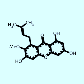 COc1c(O)cc2oc3cc(O)cc(O)c3c(=O)c2c1CC=C(C)C